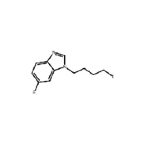 Fc1ccc2n[c]n(CCCCI)c2c1